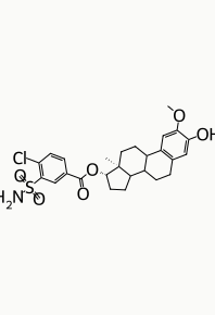 COc1cc2c(cc1O)CCC1C2CC[C@@]2(C)C1CC[C@@H]2OC(=O)c1ccc(Cl)c(S(N)(=O)=O)c1